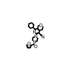 N#Cc1c(N2CCN(C(=O)c3ccco3)CC2)nc(C2CCCCC2)c2c1CCOC2